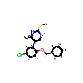 CSc1ncc(-c2cc(Cl)ccc2OCc2ccccc2)c(C)n1